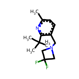 Cc1ccc(CN2CC(F)(F)C2)c(C(C)(C)C)n1